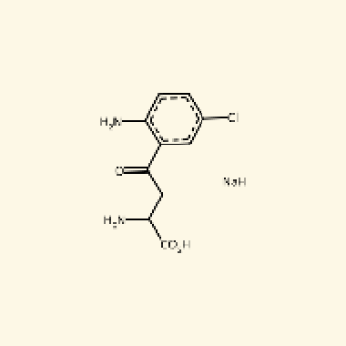 Nc1ccc(Cl)cc1C(=O)CC(N)C(=O)O.[NaH]